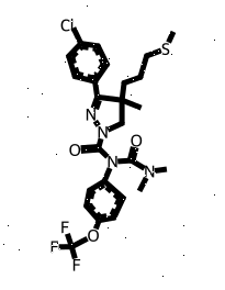 CSCCCC1(C)CN(C(=O)N(C(=O)N(C)C)c2ccc(OC(F)(F)F)cc2)N=C1c1ccc(Cl)cc1